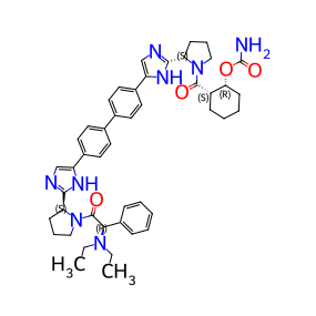 CCN(CC)[C@@H](C(=O)N1CCC[C@H]1c1ncc(-c2ccc(-c3ccc(-c4cnc([C@@H]5CCCN5C(=O)[C@H]5CCCC[C@H]5OC(N)=O)[nH]4)cc3)cc2)[nH]1)c1ccccc1